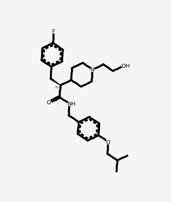 CC(C)COc1ccc(CNC(=O)[C@@H](Cc2ccc(F)cc2)C2CCN(CCO)CC2)cc1